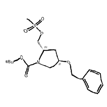 CC(C)(C)OC(=O)N1C[C@H](OCc2ccccc2)C[C@H]1COS(C)(=O)=O